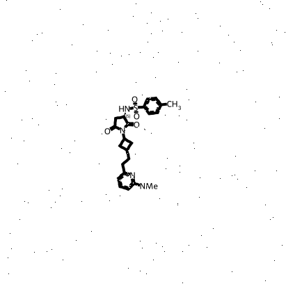 CNc1cccc(CCC2CC(N3C(=O)C[C@H](NS(=O)(=O)c4ccc(C)cc4)C3=O)C2)n1